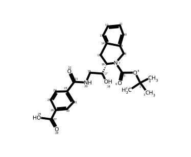 CC(C)(C)OC(=O)N1Cc2ccccc2C[C@H]1C(O)CNC(=O)c1ccc(C(=O)O)cc1